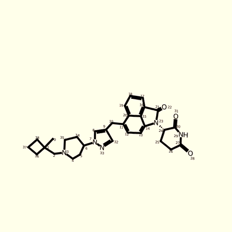 CC1(CN2CCC(n3cc(Cc4ccc5c6c(cccc46)C(=O)N5[C@H]4CCC(=O)NC4=O)cn3)CC2)CCC1